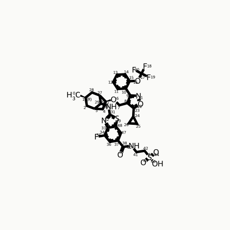 C[C@@H]1CC2C[C@H](OCc3c(-c4ccccc4OC(F)(F)F)noc3C3CC3)C(C1)C2Nc1nc2c(F)cc(C(=O)NCCS(=O)(=O)O)cc2s1